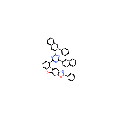 c1ccc(-c2nc3cc4c(cc3o2)oc2cccc(-c3nc(-c5ccc6ccccc6c5)nc(-c5cc6ccccc6cc5-c5ccccc5)n3)c24)cc1